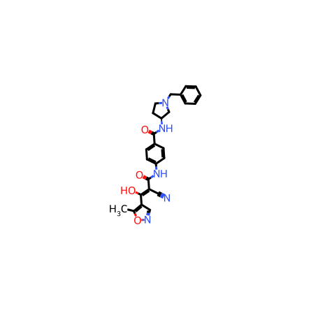 Cc1oncc1/C(O)=C(\C#N)C(=O)Nc1ccc(C(=O)N[C@H]2CCN(Cc3ccccc3)C2)cc1